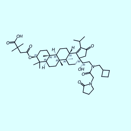 CC(C)C1=C2[C@H]3CC[C@@H]4[C@@]5(C)CC[C@H](OC(=O)CC(C)(C)C(=O)O)C(C)(C)[C@@H]5CC[C@@]4(C)[C@]3(C)CC[C@@]2([C@@H](O)CN(CC2CCC2)C(=O)CN2CCCC2=O)CC1=O